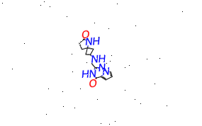 O=C1CCC2(CC(NCc3nn4cccc4c(=O)[nH]3)C2)N1